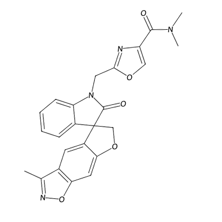 Cc1noc2cc3c(cc12)C1(CO3)C(=O)N(Cc2nc(C(=O)N(C)C)co2)c2ccccc21